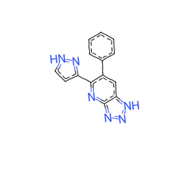 c1ccc(-c2cc3[nH]nnc3nc2-c2cc[nH]n2)cc1